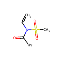 C=CN(C(=O)C(C)C)S(C)(=O)=O